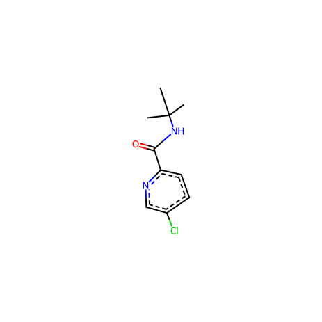 CC(C)(C)NC(=O)c1ccc(Cl)cn1